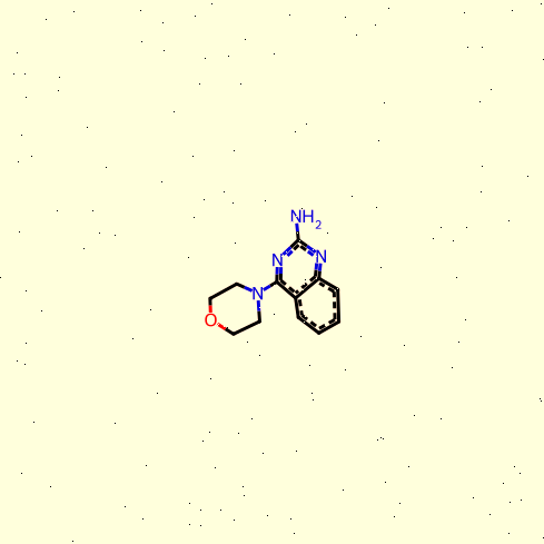 Nc1nc(N2CCOCC2)c2ccccc2n1